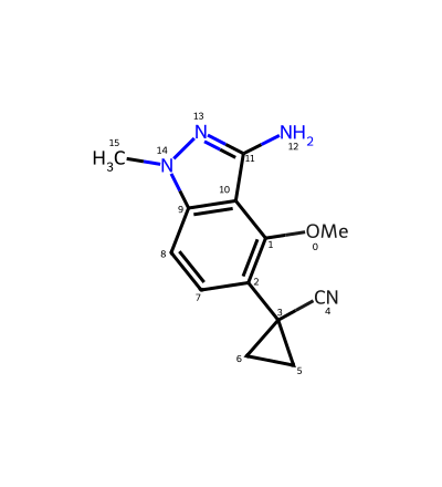 COc1c(C2(C#N)CC2)ccc2c1c(N)nn2C